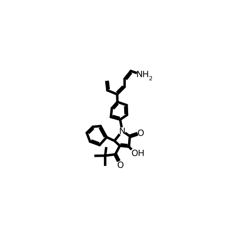 C=C/C(=C\C=C/N)c1ccc(N2C(=O)C(O)=C(C(=O)C(C)(C)C)C2c2ccccc2)cc1